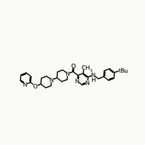 Cc1c(NCc2ccc(C(C)(C)C)cc2)ncnc1C(=O)N1CCC(N2CCC(Oc3ccccn3)CC2)CC1